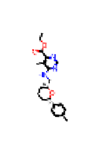 CCOC(=O)c1ncnc(NC[C@H]2CCC[C@@H](c3ccc(C)cc3)O2)c1C